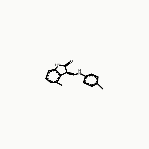 Cc1ccc(NC=C2C(=O)Nc3cccc(C)c32)cc1